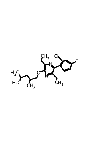 CCc1nc(-c2ccc(F)cc2Cl)c(CC)nc1OCC(C)CC(C)C